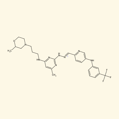 Cc1cc(NCCCN2CCOC(C)C2)nc(N/N=C/c2ccc(Nc3cccc(C(F)(F)F)c3)cn2)n1